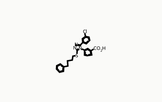 O=C(O)c1cccc(-n2c(SCCCCc3ccccc3)nnc2-c2cccc(Cl)c2)c1